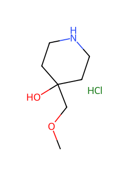 COCC1(O)CCNCC1.Cl